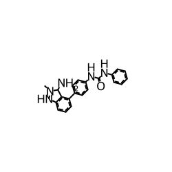 CN1Nc2cccc(-c3ccc(NC(=O)Nc4ccccc4)cc3)c2C1N